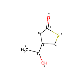 CC(O)C1CSC(=O)C1